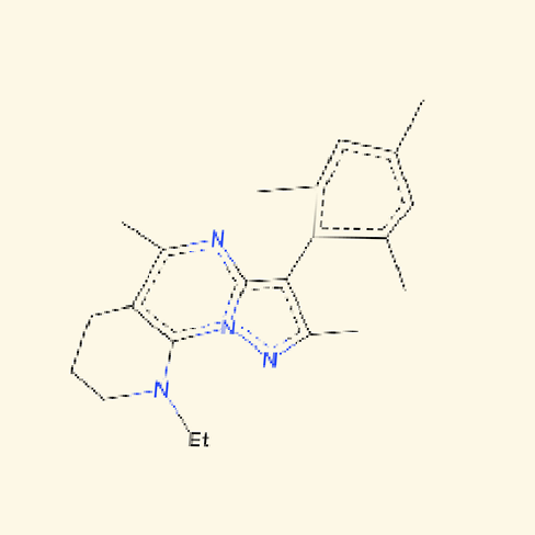 CCN1CCCc2c(C)nc3c(-c4c(C)cc(C)cc4C)c(C)nn3c21